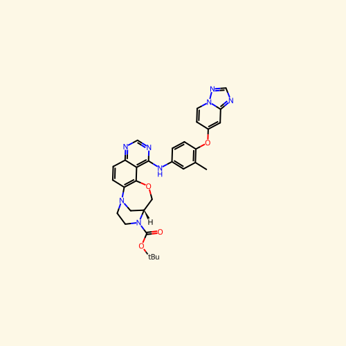 Cc1cc(Nc2ncnc3ccc4c(c23)OC[C@H]2CN4CCN2C(=O)OC(C)(C)C)ccc1Oc1ccn2ncnc2c1